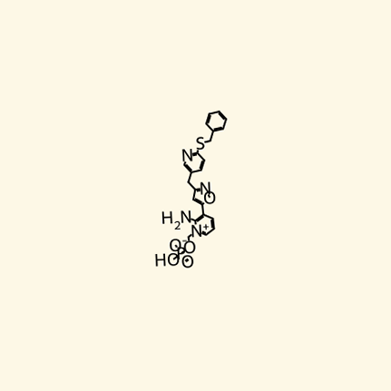 Nc1c(-c2cc(Cc3ccc(SCc4ccccc4)nc3)no2)ccc[n+]1COP(=O)([O-])O